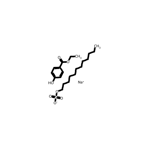 CCCCCCCCCCCCOS(=O)(=O)[O-].CCOC(=O)c1ccc(O)cc1.[Na+]